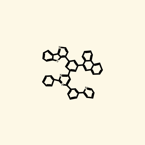 c1ccc(-c2nc(-c3cccc(-c4ccccn4)c3)cc(-c3cc(-c4cc5ccccc5c5ccccc45)cc(-c4ccnc5c4sc4ccccc45)c3)n2)cc1